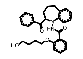 O=C(NN1c2ccccc2CCCC1C(=O)c1ccccc1)c1ccccc1OCCCCO